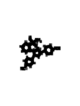 N#Cc1ccc(-c2cc(-c3ccc(C#N)cc3)n(-c3ccccc3S(N)(=O)=O)n2)cc1